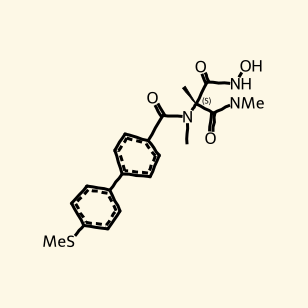 CNC(=O)[C@@](C)(C(=O)NO)N(C)C(=O)c1ccc(-c2ccc(SC)cc2)cc1